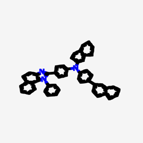 c1ccc(-n2c(-c3ccc(N(c4ccc(-c5ccc6ccccc6c5)cc4)c4ccc5ccccc5c4)cc3)nc3ccc4ccccc4c32)cc1